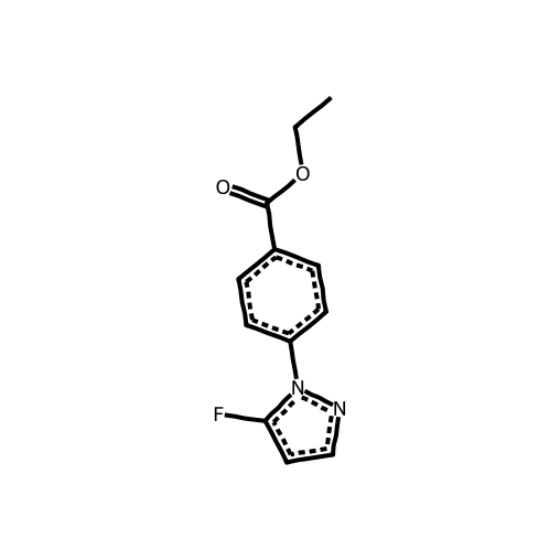 CCOC(=O)c1ccc(-n2nccc2F)cc1